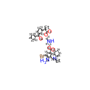 CCC(C(=O)OCCNCCOC(=O)c1cc(Br)c(N)c(CN(CC)C2CCCCC2)c1)c1cccc(C(=O)c2ccccc2)c1